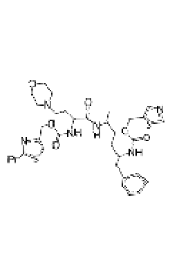 CC(CCC(Cc1ccccc1)NC(=O)OCc1cncs1)NC(=O)C(CCN1CCOCC1)NC(=O)OCc1csc(C(C)C)n1